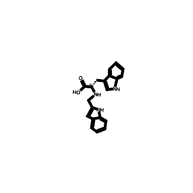 O=C(O)[C@H](Cc1c[nH]c2ccccc12)NCc1cc2ccccc2[nH]1